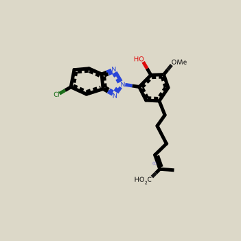 COc1cc(CCC/C=C(\C)C(=O)O)cc(-n2nc3ccc(Cl)cc3n2)c1O